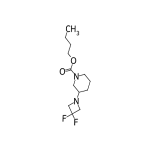 CCCCOC(=O)N1CCCC(N2CC(F)(F)C2)C1